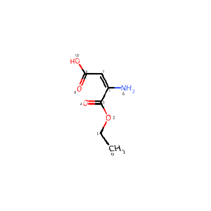 CCOC(=O)/C(N)=C\C(=O)O